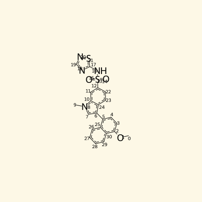 COc1ccc(-c2cn(C)c3cc(S(=O)(=O)Nc4ncns4)ccc23)c2ccccc12